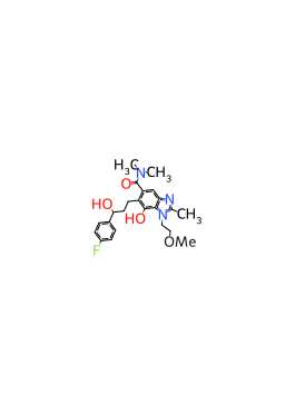 COCCn1c(C)nc2cc(C(=O)N(C)C)c(CCC(O)c3ccc(F)cc3)c(O)c21